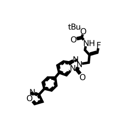 CC(C)(C)OC(=O)NC/C(=C\F)Cn1nc2ccc(-c3ccc(-c4ccon4)cc3)cn2c1=O